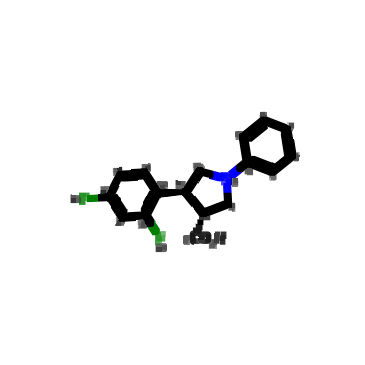 O=C(O)[C@H]1CN(c2ccccc2)C[C@@H]1c1ccc(F)cc1F